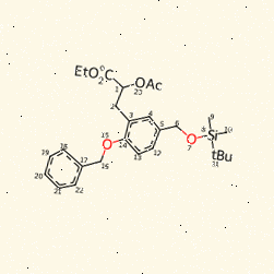 CCOC(=O)C(Cc1cc(CO[Si](C)(C)C(C)(C)C)ccc1OCc1ccccc1)OC(C)=O